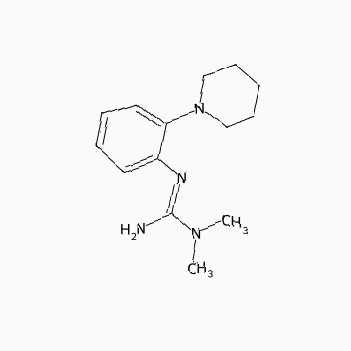 CN(C)/C(N)=N/c1ccccc1N1CCCCC1